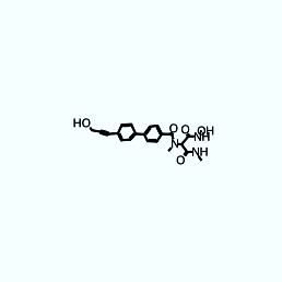 CNC(=O)C(C(=O)NO)N(C)C(=O)c1ccc(-c2ccc(C#CCO)cc2)cc1